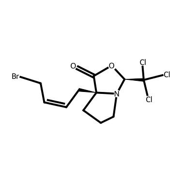 O=C1O[C@@H](C(Cl)(Cl)Cl)N2CCC[C@]12C/C=C\CBr